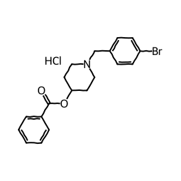 Cl.O=C(OC1CCN(Cc2ccc(Br)cc2)CC1)c1ccccc1